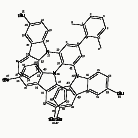 Cc1cccc(C)c1-c1cc(-n2c3ccccc3c3cc(C(C)(C)C)ccc32)c(-n2c3ccc(C(C)(C)C)cc3c3cc(C(C)(C)C)ccc32)c(-n2c3ccc(C(C)(C)C)cc3c3cc(C(C)(C)C)ccc32)c1